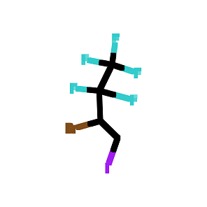 FC(F)(F)C(F)(F)C(Br)CI